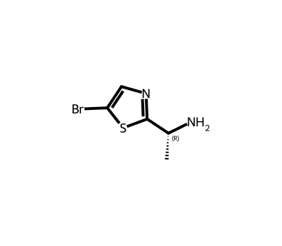 C[C@@H](N)c1ncc(Br)s1